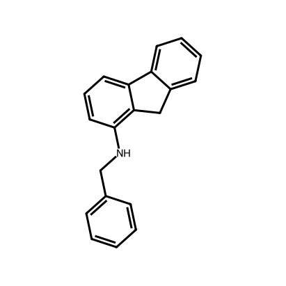 c1ccc(CNc2cccc3c2Cc2ccccc2-3)cc1